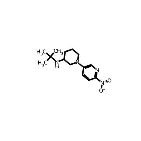 CC(C)(C)NC1CCCN(c2ccc([N+](=O)[O-])nc2)C1